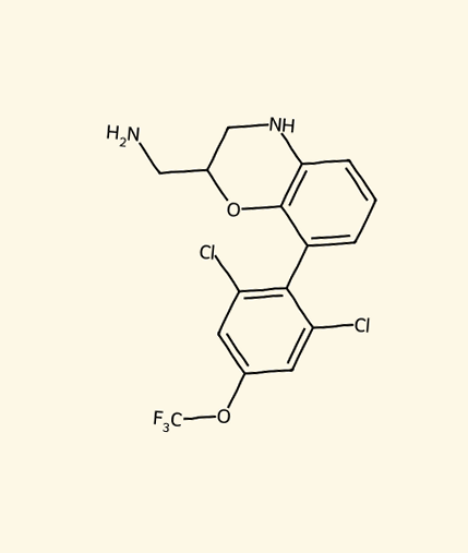 NCC1CNc2cccc(-c3c(Cl)cc(OC(F)(F)F)cc3Cl)c2O1